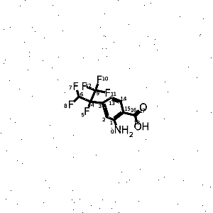 Nc1cc(C(F)(C(F)F)C(F)(F)F)ccc1C(=O)O